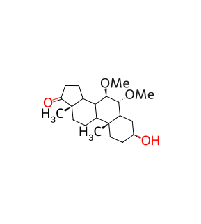 CO[C@@H]1C2C(CC[C@]3(C)C(=O)CCC23)[C@@]2(C)CC[C@H](O)CC2[C@H]1OC